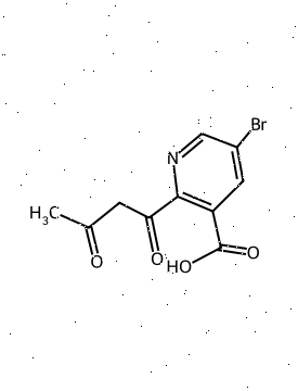 CC(=O)CC(=O)c1ncc(Br)cc1C(=O)O